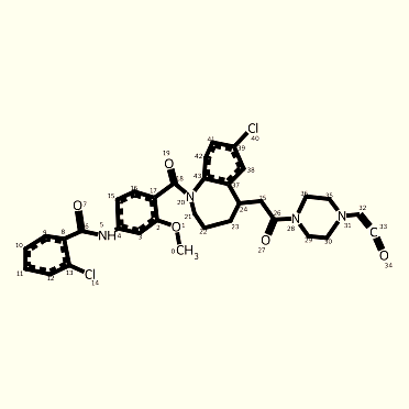 COc1cc(NC(=O)c2ccccc2Cl)ccc1C(=O)N1CCCC(CC(=O)N2CCN(C=C=O)CC2)c2cc(Cl)ccc21